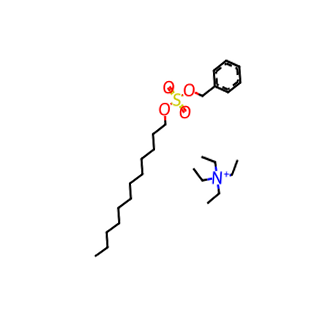 CCCCCCCCCCCCOS(=O)(=O)OCc1ccccc1.CC[N+](CC)(CC)CC